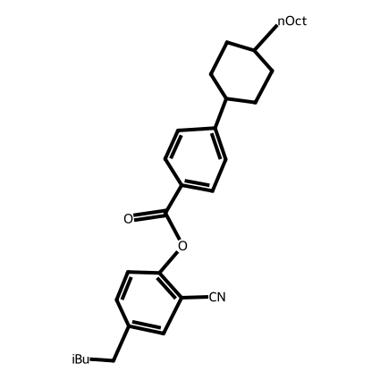 CCCCCCCCC1CCC(c2ccc(C(=O)Oc3ccc(CC(C)CC)cc3C#N)cc2)CC1